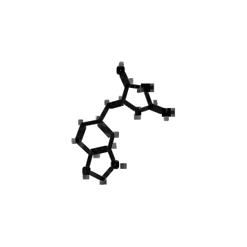 N=C1NC(=O)C(=Cc2ccc3c(c2)OCO3)S1